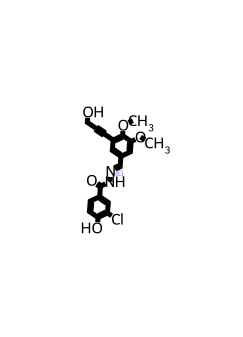 COc1cc(/C=N/NC(=O)c2ccc(O)c(Cl)c2)cc(C#CCO)c1OC